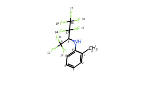 Cc1ccccc1NC(C(F)(F)F)C(F)(F)C(F)(F)F